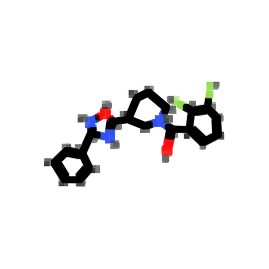 O=C(c1cccc(F)c1F)N1CCCC(c2nc(-c3ccccc3)no2)C1